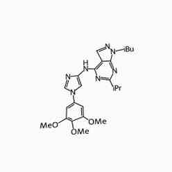 CCC(C)n1ncc2c(Nc3cn(-c4cc(OC)c(OC)c(OC)c4)cn3)nc(C(C)C)nc21